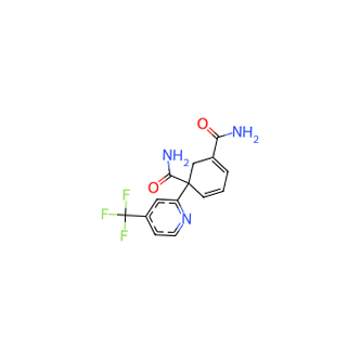 NC(=O)C1=CC=CC(C(N)=O)(c2cc(C(F)(F)F)ccn2)C1